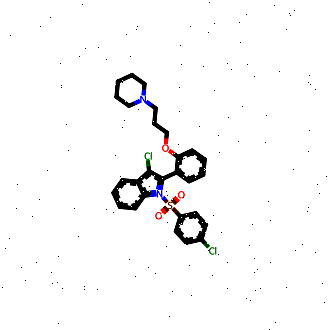 O=S(=O)(c1ccc(Cl)cc1)n1c(-c2ccccc2OCCCN2CCCCC2)c(Cl)c2ccccc21